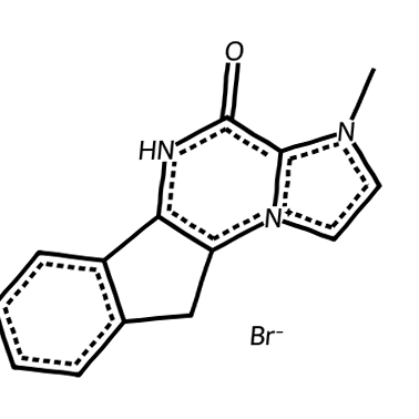 Cn1cc[n+]2c3c([nH]c(=O)c12)-c1ccccc1C3.[Br-]